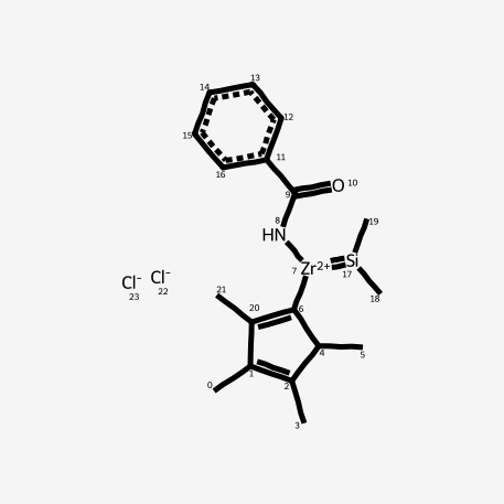 CC1=C(C)C(C)[C]([Zr+2]([NH]C(=O)c2ccccc2)=[Si](C)C)=C1C.[Cl-].[Cl-]